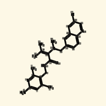 Cc1cc(N)nc(C)c1CNC(=O)/C(=C(/N)C(F)(F)F)N(N)Cc1ccc2ncc(Cl)cc2c1